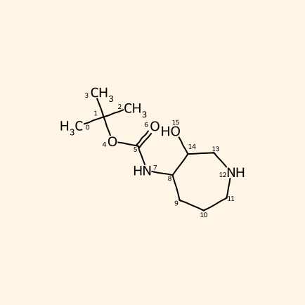 CC(C)(C)OC(=O)NC1CCCNCC1O